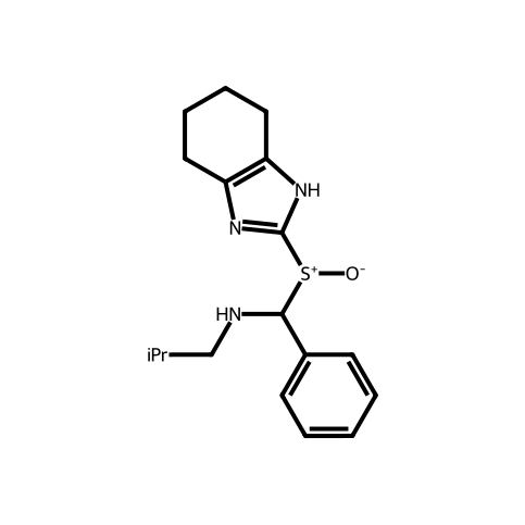 CC(C)CNC(c1ccccc1)[S+]([O-])c1nc2c([nH]1)CCCC2